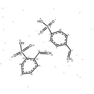 C=Cc1ccc(S(=O)(=O)O)cc1.C=Cc1ccccc1S(=O)(=O)O